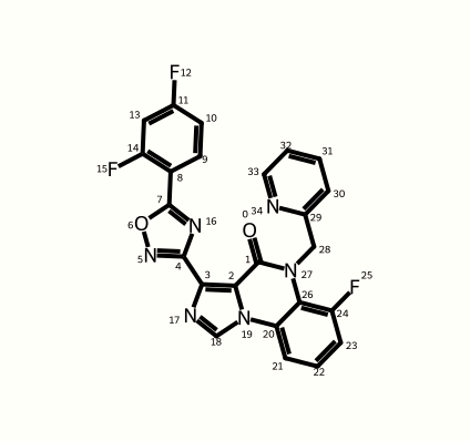 O=c1c2c(-c3noc(-c4ccc(F)cc4F)n3)ncn2c2cccc(F)c2n1Cc1ccccn1